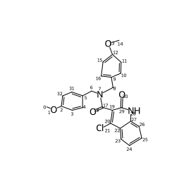 COc1ccc(CN(Cc2ccc(OC)cc2)C(=O)c2c(Cl)c3ccccc3[nH]c2=O)cc1